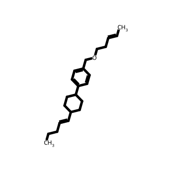 CC=CCCOCc1ccc(C2CCC(/C=C/CCC)CC2)cc1